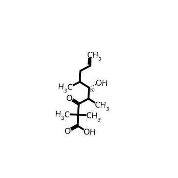 C=CCC(C)[C@H](O)C(C)C(=O)C(C)(C)C(=O)O